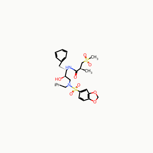 CC(C)CN(C[C@@H](O)[C@H](Cc1ccccc1)NC(=O)[C@H](C)CS(C)(=O)=O)S(=O)(=O)c1ccc2c(c1)OCO2